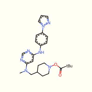 CN(CC1CCN(OC(=O)C(C)(C)C)CC1)c1cc(Nc2ccc(-n3cccn3)cc2)ncn1